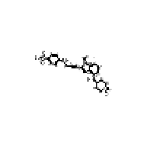 CCS(=O)(=O)c1ccc(NCC#Cc2cc3c(NC4CCS(=O)(=O)CC4)cccc3n2CC(F)(F)F)cc1